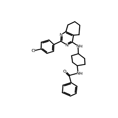 O=C(NC1CCC(Nc2nc(-c3ccc(Cl)cc3)nc3c2CCCC3)CC1)c1ccccc1